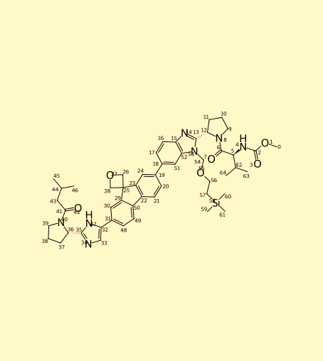 COC(=O)N[C@H](C(=O)N1CCC[C@H]1c1nc2ccc(-c3ccc4c(c3)C3(COC3)c3cc(-c5cnc([C@@H]6CCCN6C(=O)CC(C)C)[nH]5)ccc3-4)cc2n1COCC[Si](C)(C)C)C(C)C